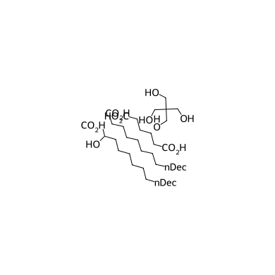 CCCCCCCCCCCCCCCCC(O)C(=O)O.CCCCCCCCCCCCCCCCCC(=O)O.O=C(O)CCCCC(=O)O.OCC(CO)(CO)CO